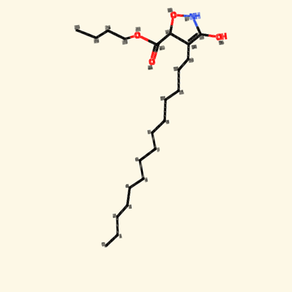 CCCCCCCCCCCCCCC1=C(O)NOC1C(=O)OCCCC